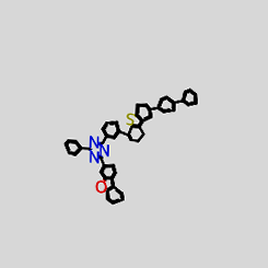 C1=C(c2cccc(-c3nc(-c4ccccc4)nc(-c4ccc5c(c4)oc4ccccc45)n3)c2)c2sc3ccc(-c4ccc(-c5ccccc5)cc4)cc3c2CC1